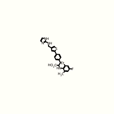 CCc1cc(F)cc(C)c1NC(Cc1ccc(-c2cc(CNc3ncc[nH]3)cs2)cc1)C(=O)O